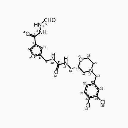 O=CNNC(=O)c1coc(CNC(=O)NC[C@H]2CN(Cc3ccc(Cl)c(Cl)c3)CCO2)c1